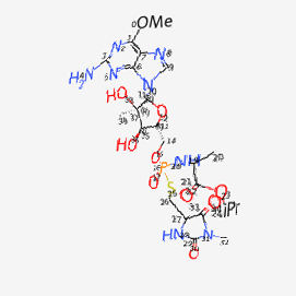 COc1nc(N)nc2c1ncn2[C@@H]1O[C@H](COP(=O)(NC(C)C(=O)OC(C)C)SCC2NC(=O)N(C)C2=O)[C@@H](O)[C@@]1(C)O